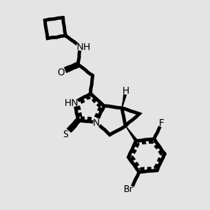 O=C(Cc1[nH]c(=S)n2c1[C@@H]1C[C@]1(c1cc(Br)ccc1F)C2)NC1CCC1